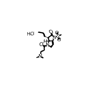 CCC[C@H]1C(=O)N(S(C)(=O)=O)C2=CCN(C(=O)CCN(C)C)[C@@H]21.Cl